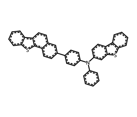 c1ccc(N(c2ccc(-c3ccc4c(ccc5c6ccccc6sc45)c3)cc2)c2ccc3c(c2)sc2ccccc23)cc1